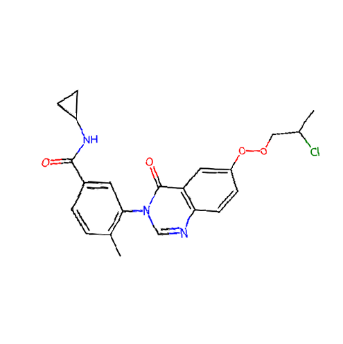 Cc1ccc(C(=O)NC2CC2)cc1-n1cnc2ccc(OOCC(C)Cl)cc2c1=O